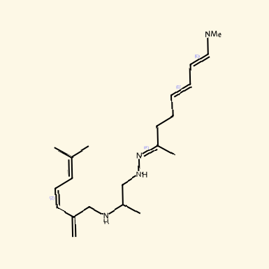 C=C(/C=C\C=C(C)C)CNC(C)CN/N=C(\C)CC/C=C/C=C/NC